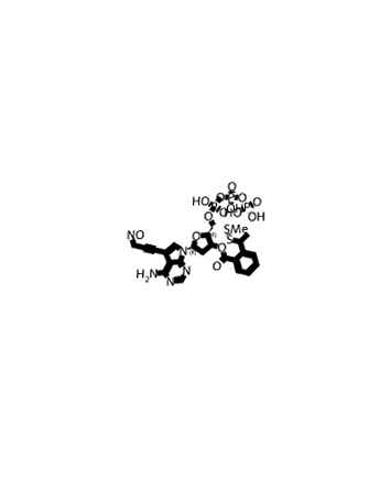 CSSC(C)c1ccccc1C(=O)OC1C[C@H](n2cc(C#CCN=O)c3c(N)ncnc32)O[C@@H]1COP(=O)(O)OP(=O)(O)OP(=O)(O)O